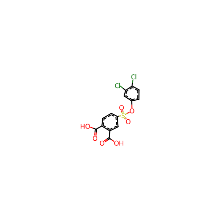 O=C(O)c1ccc(S(=O)(=O)Oc2ccc(Cl)c(Cl)c2)cc1C(=O)O